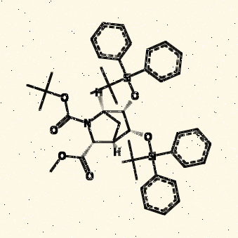 COC(=O)[C@H]1[C@H]2C[C@H]([C@H](O[Si](c3ccccc3)(c3ccccc3)C(C)(C)C)[C@@H]2O[Si](c2ccccc2)(c2ccccc2)C(C)(C)C)N1C(=O)OC(C)(C)C